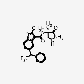 Cc1oc2ccc(C(c3ccccc3)C(F)(F)F)cc2c1C(=O)N[C@@](C)(CO)C(N)=O